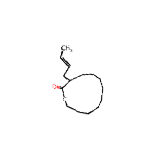 C/C=C/CC1CCCCCCCCCCC1=O